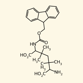 CC(C)(CC(C)(C)C(NC(=O)OCC1c2ccccc2-c2ccccc21)C(=O)O)C(N)C(=O)O